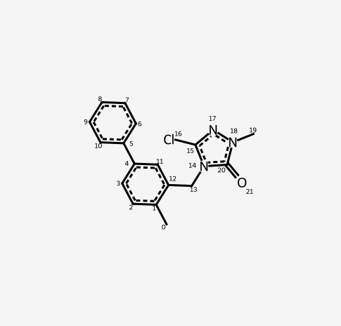 Cc1ccc(-c2ccccc2)cc1Cn1c(Cl)nn(C)c1=O